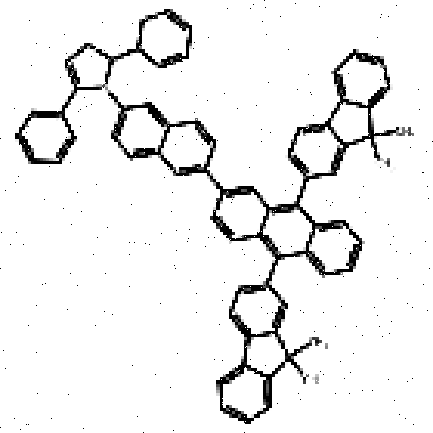 CC1(C)c2ccccc2-c2ccc(-c3c4ccccc4c(-c4ccc5c(c4)C(C)(C)c4ccccc4-5)c4cc(-c5ccc6cc(N7C(c8ccccc8)=CCC7C7C=CC=CC7)ccc6c5)ccc34)cc21